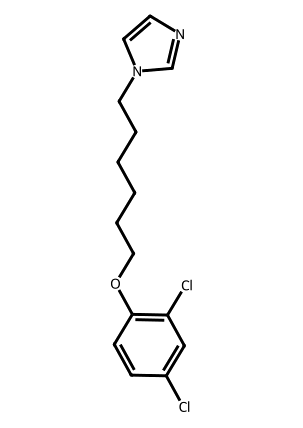 Clc1ccc(OCCCCCCn2ccnc2)c(Cl)c1